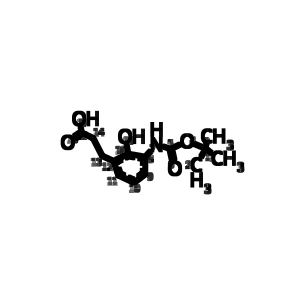 CC(C)(C)OC(=O)Nc1cccc(CCC(=O)O)c1O